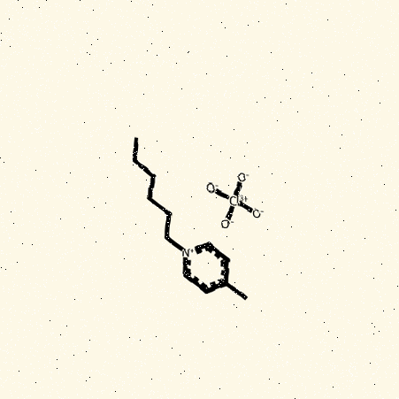 CCCCCC[n+]1ccc(C)cc1.[O-][Cl+3]([O-])([O-])[O-]